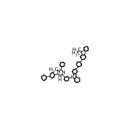 CN1C(c2ccccc2)N=C(c2cccc(-n3c4ccccc4c4cc(-c5ccc(-c6ccc7c(c6)C(C)(C)c6ccccc6-7)cc5)ccc43)c2)NC1c1ccc(-c2ccccc2)cc1